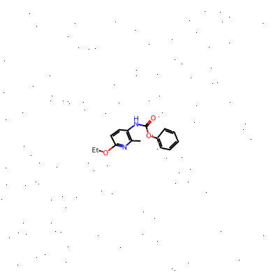 CCOc1ccc(NC(=O)Oc2ccccc2)c(C)n1